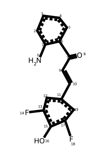 Nc1ccccc1C(=O)/C=C/c1cc(F)c(O)c(F)c1